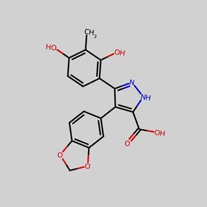 Cc1c(O)ccc(-c2n[nH]c(C(=O)O)c2-c2ccc3c(c2)OCO3)c1O